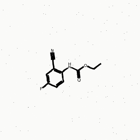 CCOC(=O)Nc1ccc(F)cc1C#N